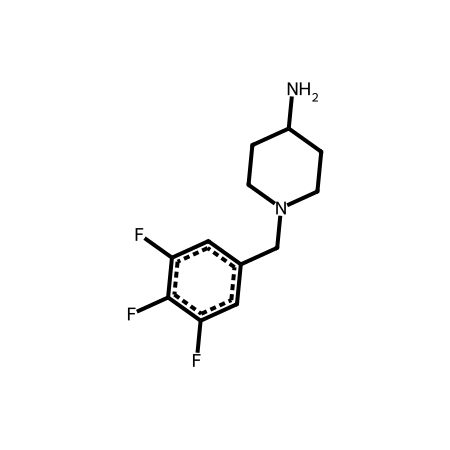 NC1CCN(Cc2cc(F)c(F)c(F)c2)CC1